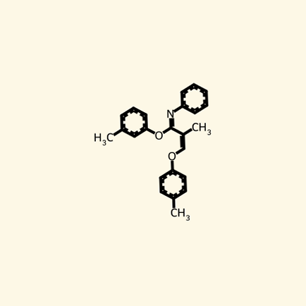 CC(=COc1ccc(C)cc1)C(=Nc1ccccc1)Oc1cccc(C)c1